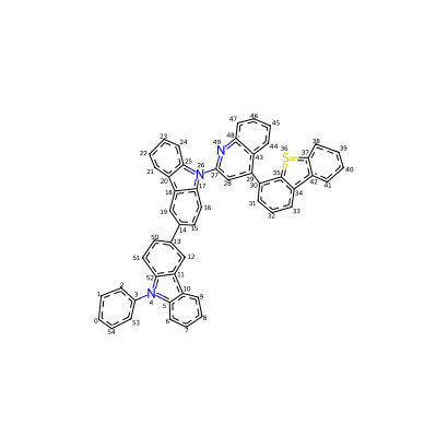 c1ccc(-n2c3ccccc3c3cc(-c4ccc5c(c4)c4ccccc4n5-c4cc(-c5cccc6c5sc5ccccc56)c5ccccc5n4)ccc32)cc1